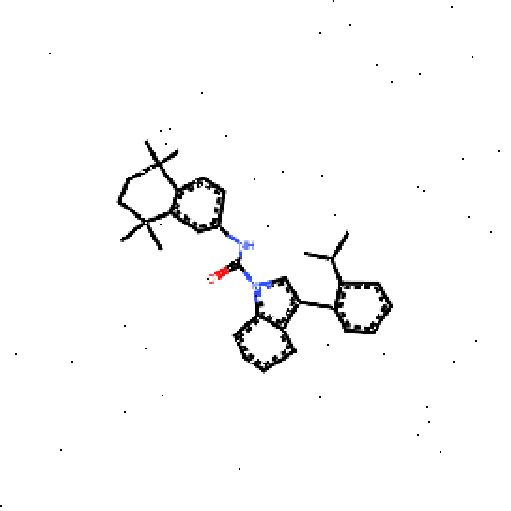 CC(C)c1ccccc1-c1cn(C(=O)Nc2ccc3c(c2)C(C)(C)CCC3(C)C)c2ccccc12